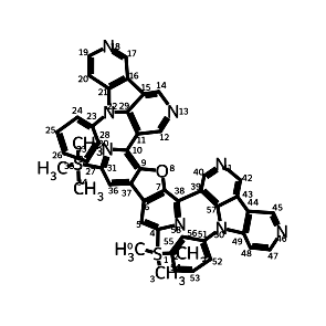 CS(C)(C)c1cc2c(oc3c(-c4cncc5c6cnccc6n(-c6ccccc6)c45)nc(S(C)(C)C)cc32)c(-c2cncc3c4cnccc4n(-c4ccccc4)c23)n1